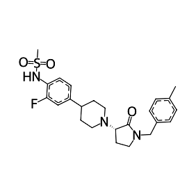 Cc1ccc(CN2CC[C@H](N3CCC(c4ccc(NS(C)(=O)=O)c(F)c4)CC3)C2=O)cc1